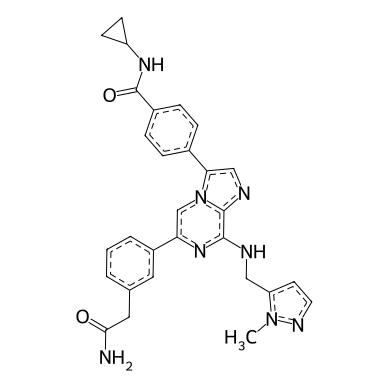 Cn1nccc1CNc1nc(-c2cccc(CC(N)=O)c2)cn2c(-c3ccc(C(=O)NC4CC4)cc3)cnc12